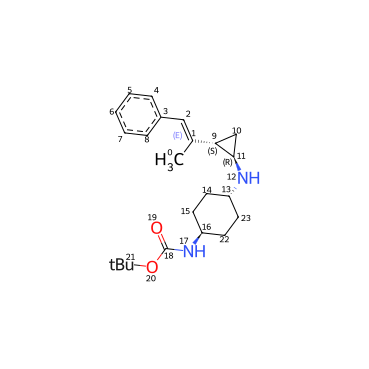 C/C(=C\c1ccccc1)[C@@H]1C[C@H]1N[C@H]1CC[C@H](NC(=O)OC(C)(C)C)CC1